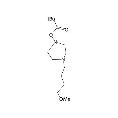 COCCCCN1CCN(OC(=O)C(C)(C)C)CC1